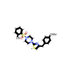 COc1ccc(Cc2csc(N3CCN(S(=O)(=O)c4ccccc4C#N)CC3)n2)cc1